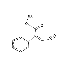 C#CC=C(C(=O)OC(C)(C)C)c1ccccc1